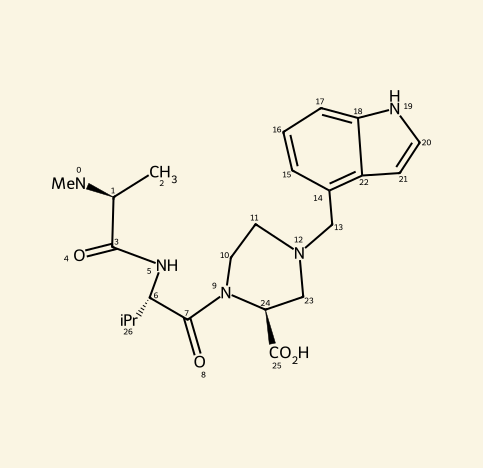 CN[C@@H](C)C(=O)N[C@H](C(=O)N1CCN(Cc2cccc3[nH]ccc23)C[C@H]1C(=O)O)C(C)C